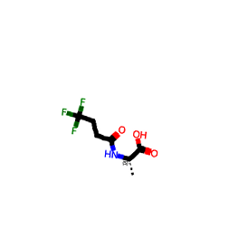 C[C@H](NC(=O)CCC(F)(F)F)C(=O)O